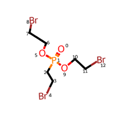 O=P(CCBr)(OCCBr)OCCBr